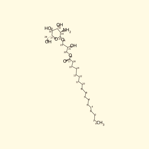 CCCCCCCCCCCCCCCCCC(=O)OCC(O)CO[C@H]1O[C@H](CO)[C@@H](O)[C@H](O)[C@H]1N